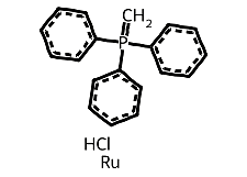 C=P(c1ccccc1)(c1ccccc1)c1ccccc1.Cl.[Ru]